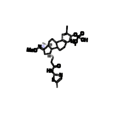 CO/N=C1\C[C@@H](CCC(=O)Nc2ncc(C)s2)C2C3CCc4c(cc(I)c(OP(=O)(O)O)c4I)C3CC[C@]12C